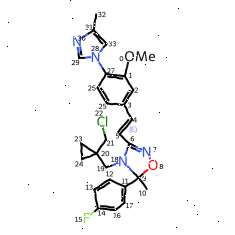 COc1cc(/C=C/C2=NOC(C)(c3ccc(F)cc3)N2CC2(CCl)CC2)ccc1-n1cnc(C)c1